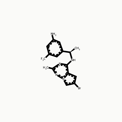 Cc1nc(N[C@H](C)c2cc(N)cc(C(F)(F)F)c2)c2cc(Br)cn2n1